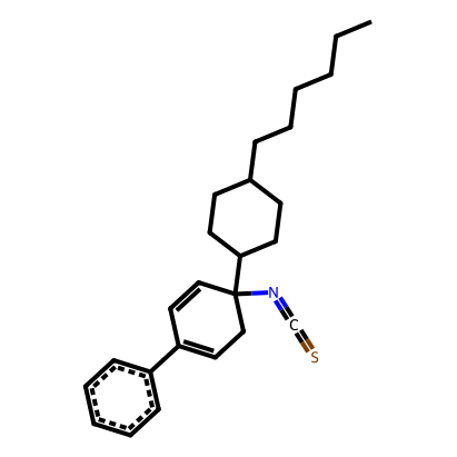 CCCCCCC1CCC(C2(N=C=S)C=CC(c3ccccc3)=CC2)CC1